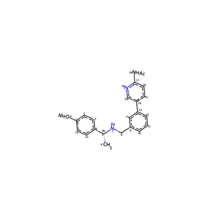 COc1ccc([C@@H](C)NCc2cccc(-c3ccc(NC(C)=O)nc3)c2)cc1